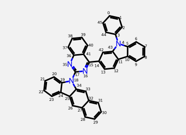 c1ccc(-n2c3ccccc3c3ccc(-c4nc(-n5c6ccccc6c6cc7ccccc7cc65)nc5ccccc45)cc32)cc1